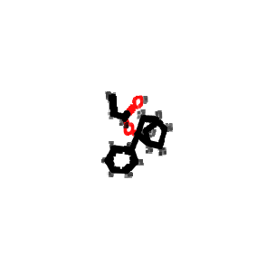 C=CC(=O)OC1(c2ccccc2)CC2CCC1C2